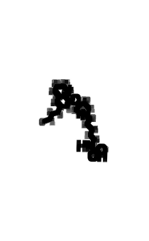 CCCCc1cc(OC2CCN(CCCCCNC(=O)O)CC2)c2ncccc2c1